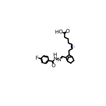 O=C(O)CCC/C=C\CC1C2CCC(C2)C1C=NNC(=O)c1ccc(F)cc1